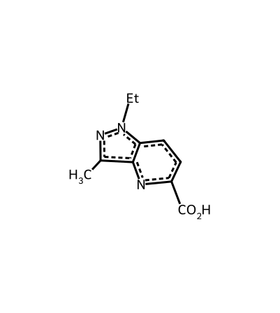 CCn1nc(C)c2nc(C(=O)O)ccc21